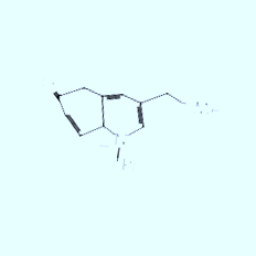 CCCN1C=C(CSC)C=C2CC(=O)C=C[C@@H]21